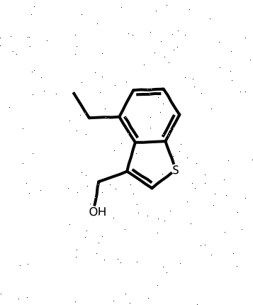 CCc1cccc2scc(CO)c12